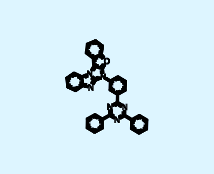 c1ccc(-c2nc(-c3ccccc3)nc(-c3cccc(-n4c5oc6ccccc6c5n5c6ccccc6nc45)c3)n2)cc1